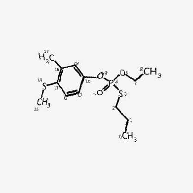 CCCSP(=O)(OCC)Oc1ccc(SC)c(C)c1